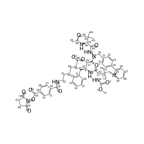 COC(=O)N[C@H](C(=O)N[C@@H](Cc1ccccc1)[C@H](CN(Cc1ccc(-c2ccccn2)cc1)NC(=O)[C@@H](NC(C)=O)C(C)(C)C)OC(=O)CCCCCNC(=O)c1ccc(C(=O)ON2C(=O)CCC2=O)cc1)C(C)(C)C